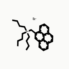 CCCC[P+](CCCC)(CCCC)Cc1cc2cccc3ccc4cccc1c4c32.[Br-]